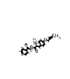 CC#CCOc1ccc(CC(N)C(=O)OCC(=O)c2ccccc2)cc1